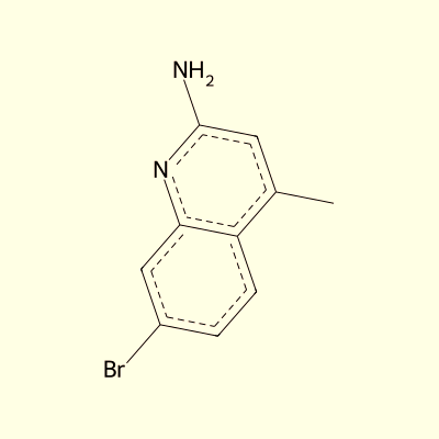 Cc1cc(N)nc2cc(Br)ccc12